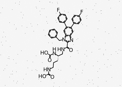 O=C(O)NCCC[C@@H](CNC(=O)c1nc2cc(-c3ccc(F)cc3)c(-c3ccc(F)cc3)cc2n1Cc1ccccc1)NC(=O)O